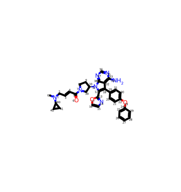 CN(CC=CC(=O)N1CC[C@@H](n2c(-c3ncco3)c(-c3ccc(Oc4ccccc4)cc3)c3c(N)ncnc32)C1)C1CC1